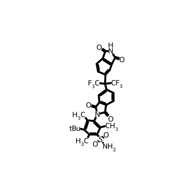 Cc1c(N2C(=O)c3ccc(C(c4ccc5c(c4)C(=O)NC5=O)(C(F)(F)F)C(F)(F)F)cc3C2=O)c(C)c(S(N)(=O)=O)c(C)c1C(C)(C)C